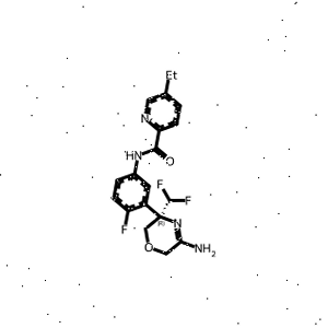 CCc1ccc(C(=O)Nc2ccc(F)c([C@]3(C(F)F)COCC(N)=N3)c2)nc1